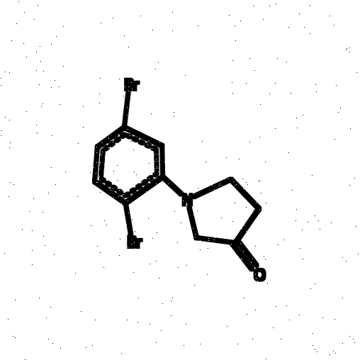 O=C1CCN(c2cc(Br)ccc2Br)C1